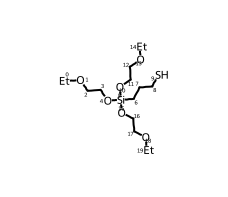 CCOCCO[Si](CCCS)(OCCOCC)OCCOCC